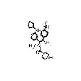 CN(CC(=O)N1CCNCC1)/C(=C(\N)c1ccc(C(F)(F)F)cc1)c1ccnc(NC2CCCC2)c1